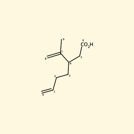 C=CCCC(CC(=O)O)C(=C)C